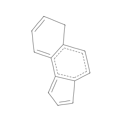 C1=CCc2ccc3c(c2=C1)=CC=C3